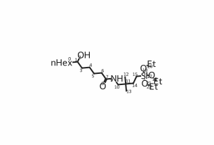 CCCCCCC(O)CCCCC(=O)NCC(C)(C)CC[Si](OCC)(OCC)OCC